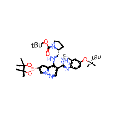 CCc1cc(O[Si](C)(C)C(C)(C)C)ccc1/N=C(\N)c1cnn2cc(B3OC(C)(C)C(C)(C)O3)cc2c1NC[C@H]1CCCN1C(=O)OC(C)(C)C